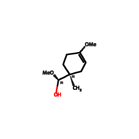 COC1=CC[C@@](C)([C@@H](O)OC)CC1